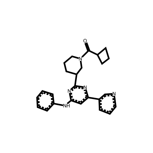 O=C(C1CCC1)N1CCCC(c2nc(Nc3ccccc3)cc(-c3cccnc3)n2)C1